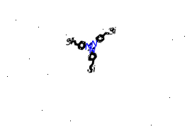 C[Si](C)(C)CCc1ccc(N2CN(c3ccc(CC[Si](C)(C)C)cc3)CN(c3ccc(CC[Si](C)(C)C)cc3)C2)cc1